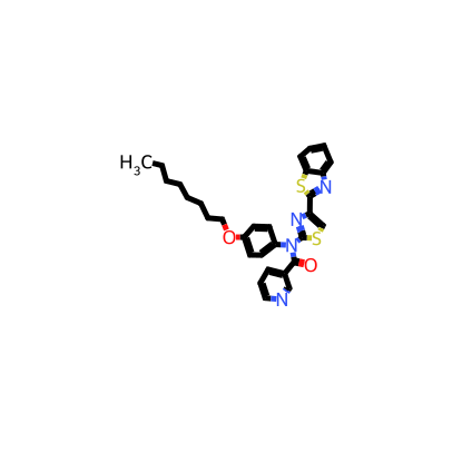 CCCCCCCCOc1ccc(N(C(=O)c2cccnc2)c2nc(-c3nc4ccccc4s3)cs2)cc1